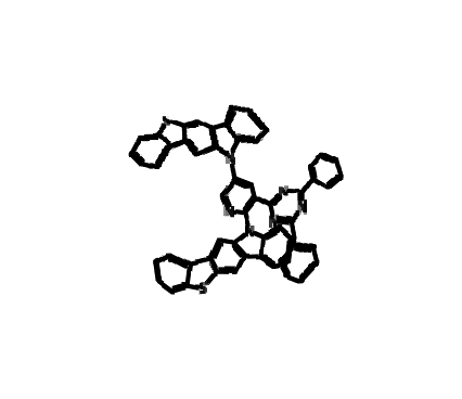 c1ccc(-c2nc(-c3ccccc3)nc(-c3cc(-n4c5ccccc5c5cc6sc7ccccc7c6cc54)cnc3-n3c4ccccc4c4cc5sc6ccccc6c5cc43)n2)cc1